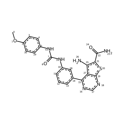 COc1ccc(NC(=O)Nc2cccc(-c3ncnc4sc(C(N)=O)c(N)c34)c2)cc1